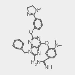 Cc1nc2c(Oc3cc(C(=N)N)ccc3N(C)C)nc(Oc3cccc(C4=NCCN4C)c3)nc2n1Cc1ccccc1